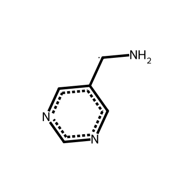 N[CH]c1cncnc1